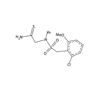 COc1cccc(Cl)c1CS(=O)(=O)N(CC(N)=S)C(C)C